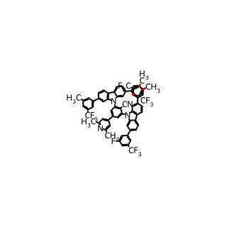 Cc1cc(-c2ccc3c4ccc(-c5cc(C)cc(C(F)(F)F)c5)cc4n(-c4cc(-c5cc(C)nc(C)c5)cc(-n5c6cc(-c7cc(C)cc(C(F)(F)F)c7)ccc6c6ccc(-c7cc(F)cc(C(F)(F)F)c7)cc65)c4C#N)c3c2)cc(C(F)(F)F)c1